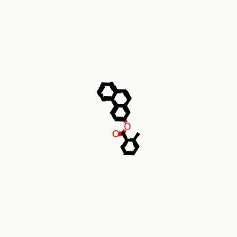 Cc1ccccc1C(=O)Oc1ccc2c(ccc3ccccc32)c1